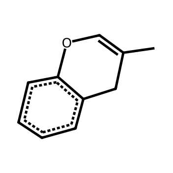 CC1=COc2ccccc2C1